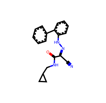 N#CC(=NNc1ccccc1-c1ccccc1)C(=O)NCC1CC1